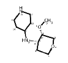 CO[C@@H]1COCC[C@@H]1NC1CCNCC1